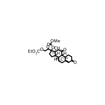 CCOC(=O)OCC(=O)[C@@]1(OC(=O)OC)CC[C@H]2[C@@H]3CCC4=CC(=O)CC[C@]4(C)[C@H]3C(=O)C[C@@]21C